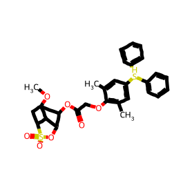 COC12CC3C1C(OS3(=O)=O)C2OC(=O)COc1c(C)cc([SH](c2ccccc2)c2ccccc2)cc1C